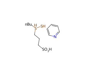 CCCC[SH](S)CCCS(=O)(=O)O.c1ccncc1